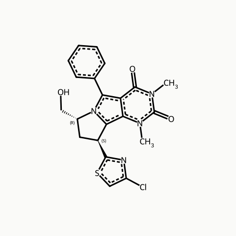 Cn1c(=O)c2c(-c3ccccc3)n3c(c2n(C)c1=O)[C@@H](c1nc(Cl)cs1)C[C@@H]3CO